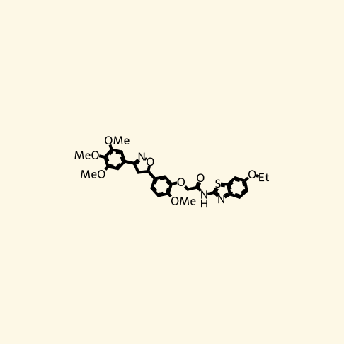 CCOc1ccc2nc(NC(=O)COc3cc(C4CC(c5cc(OC)c(OC)c(OC)c5)=NO4)ccc3OC)sc2c1